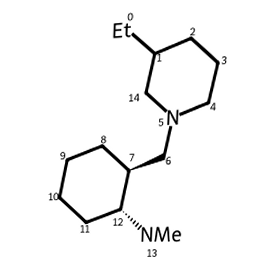 CCC1CCCN(C[C@@H]2CCCC[C@H]2NC)C1